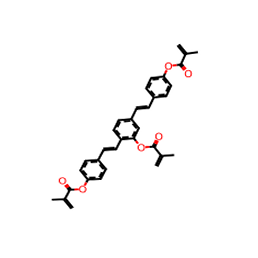 C=C(C)C(=O)Oc1ccc(/C=C/c2ccc(/C=C/c3ccc(OC(=O)C(=C)C)cc3)c(OC(=O)C(=C)C)c2)cc1